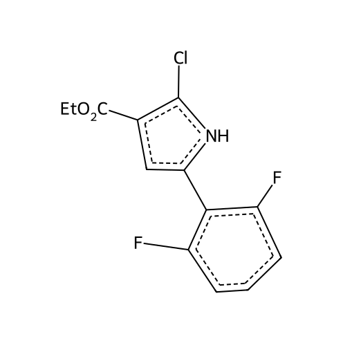 CCOC(=O)c1cc(-c2c(F)cccc2F)[nH]c1Cl